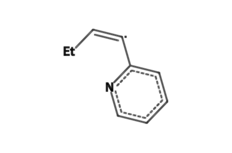 CC/C=[C]\c1ccccn1